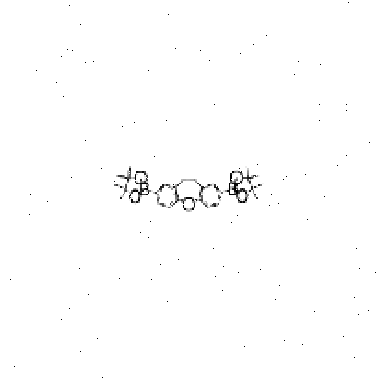 CC1(C)OB(c2ccc3c(c2)CCc2cc(B4OC(C)(C)C(C)(C)O4)ccc2O3)OC1(C)C